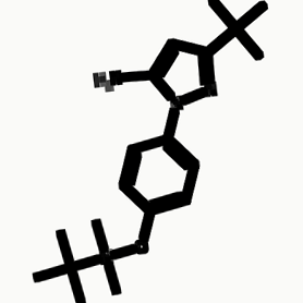 CC(C)(C)c1cc(N)n(-c2ccc(O[Si](C)(C)C(C)(C)C)cc2)n1